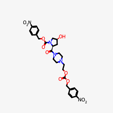 O=C(OCCN1CCN(C(=O)[C@@H]2C[C@H](O)CN2C(=O)OCc2ccc([N+](=O)[O-])cc2)CC1)OCc1ccc([N+](=O)[O-])cc1